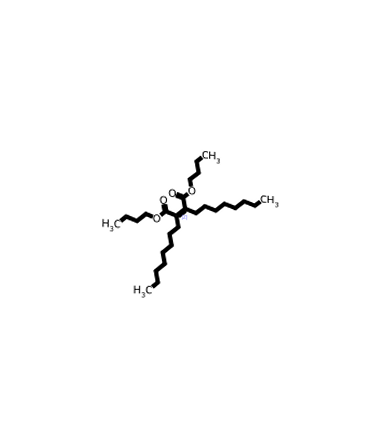 CCCCCCCC/C(C(=O)OCCCC)=C(\CCCCCCCC)C(=O)OCCCC